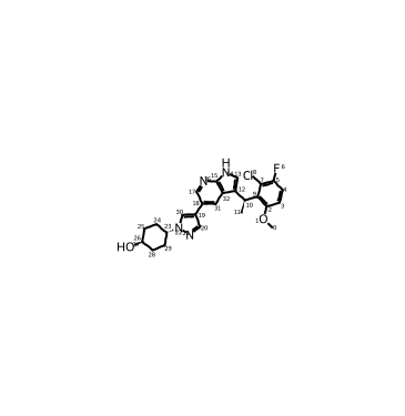 COc1ccc(F)c(Cl)c1[C@@H](C)c1c[nH]c2ncc(-c3cnn([C@H]4CC[C@H](O)CC4)c3)cc12